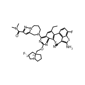 CCc1cc2c(N3CCCn4nc(C(=O)N(C)C)cc4C3)nc(OC[C@@]34CCCN3C[C@H](F)C4)nc2c(F)c1-c1ccc(F)c2sc(N)c(C#N)c12